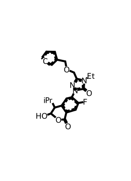 CCn1c(COCc2ccccc2)nn(-c2cc3c(cc2F)C(=O)OC(O)C3C(C)C)c1=O